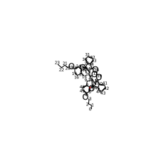 CCCCOc1ccc(C[C@@H](C(=O)[C@H](Cc2ccc(OCCCC)cc2)N2C(=O)c3ccccc3C2=O)N2C(=O)c3ccccc3C2=O)cc1